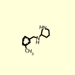 Cc1cccc(CNC2CCCNC2)c1